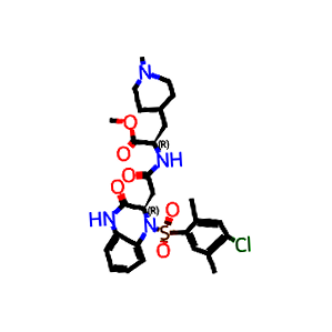 COC(=O)[C@@H](CC1CCN(C)CC1)NC(=O)C[C@@H]1C(=O)Nc2ccccc2N1S(=O)(=O)c1cc(C)c(Cl)cc1C